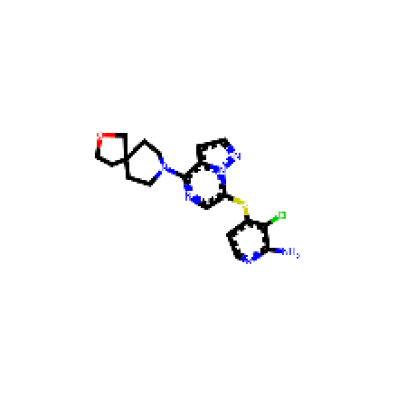 Nc1nccc(Sc2cnc(N3CCC4(CCOC4)CC3)c3ccnn23)c1Cl